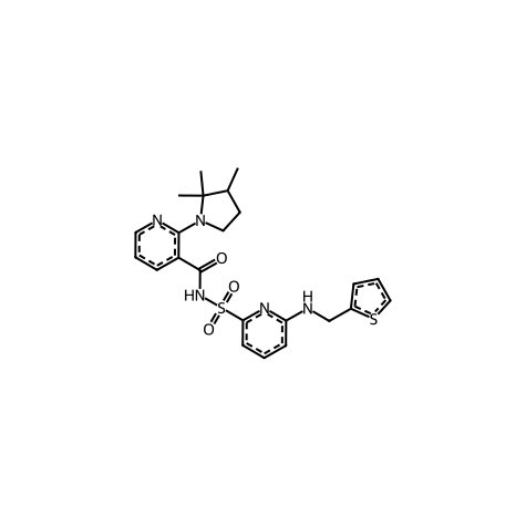 CC1CCN(c2ncccc2C(=O)NS(=O)(=O)c2cccc(NCc3cccs3)n2)C1(C)C